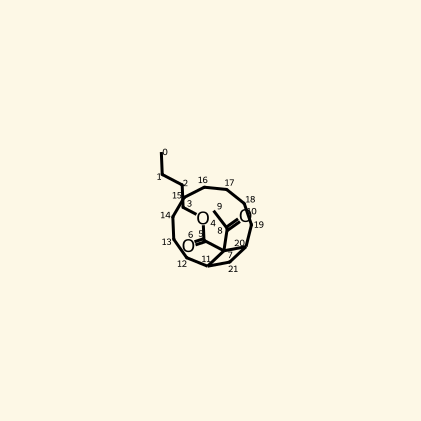 CCCCOC(=O)C1(C(C)=O)C2CCCCCCCCC1C2